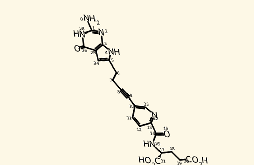 Nc1nc2[nH]c(CCC#Cc3ccc(C(=O)N[C@@H](CCC(=O)O)C(=O)O)nc3)cc2c(=O)[nH]1